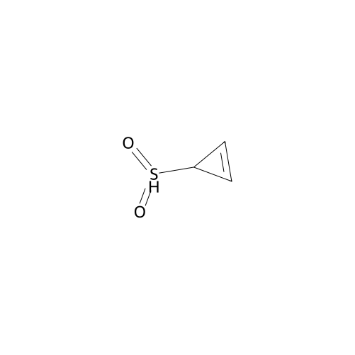 O=[SH](=O)C1C=C1